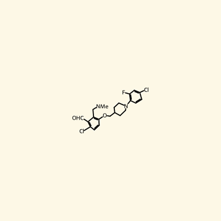 CNCc1c(OCC2CCN(c3ccc(Cl)cc3F)CC2)ccc(Cl)c1C=O